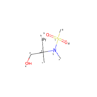 CC(C)C(C)(CO)N(C)S(C)(=O)=O